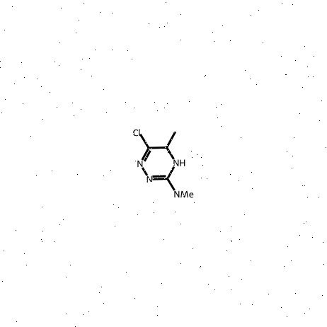 CNC1=NN=C(Cl)C(C)N1